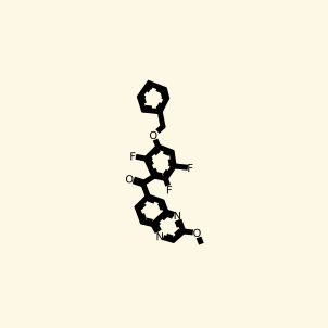 COc1cnc2ccc(C(=O)c3c(F)c(F)cc(OCc4ccccc4)c3F)cc2n1